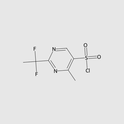 Cc1nc(C(C)(F)F)ncc1S(=O)(=O)Cl